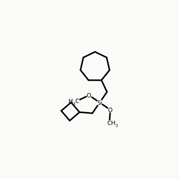 CO[Si](CC1CCCCCC1)(CC1CCC1)OC